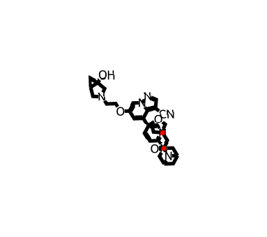 N#Cc1cnn2cc(OCCN3CC4CC4(O)C3)cc(-c3ccc(N4CC5CC(C4)N5C(=O)CC4CCOC4)nc3)c12